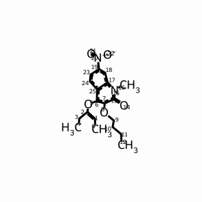 CC=C(CC)Oc1c(OCCCC)c(=O)n(C)c2cc([N+](=O)[O-])ccc12